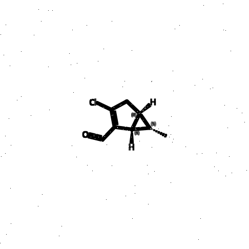 C[C@H]1[C@H]2CC(Cl)=C(C=O)[C@@H]12